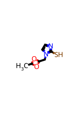 CC1OC(Cn2ccnc2S)O1